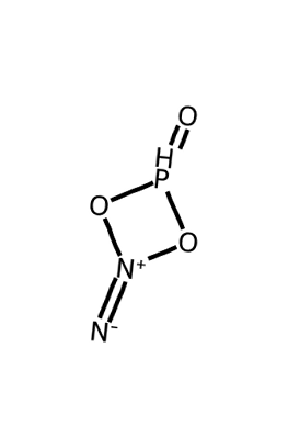 [N-]=[N+]1O[PH](=O)O1